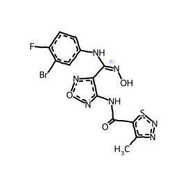 Cc1nnsc1C(=O)Nc1nonc1/C(=N\O)Nc1ccc(F)c(Br)c1